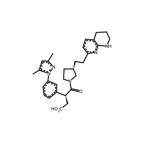 Cc1cc(C)n(-c2cccc([C@H](CC(=O)O)C(=O)N3CC[C@@H](CCc4ccc5c(n4)NCCC5)C3)c2)n1